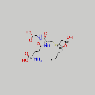 CCCCC[C@H]1O[C@@H](O)C[C@@H]1SC[C@@H](NC(=O)CC[C@H](N)C(=O)O)C(=O)NCC(=O)O